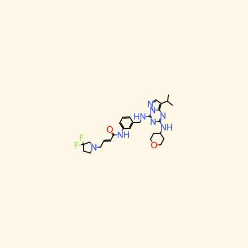 CC(C)c1cnn2c(NCc3cccc(NC(=O)C=CCN4CCC(F)(F)C4)c3)nc(NC3CCOCC3)nc12